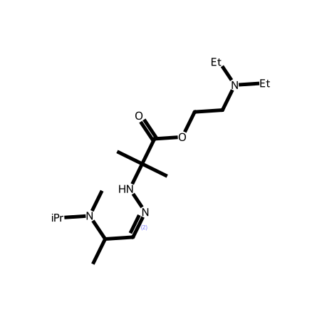 CCN(CC)CCOC(=O)C(C)(C)N/N=C\C(C)N(C)C(C)C